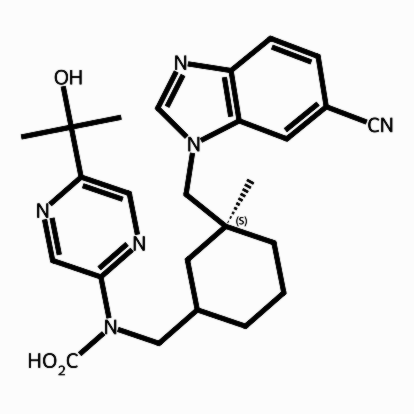 CC(C)(O)c1cnc(N(CC2CCC[C@](C)(Cn3cnc4ccc(C#N)cc43)C2)C(=O)O)cn1